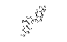 CSc1ccc(-c2cc(-c3cnc4nc(C(F)(F)F)cnn34)ccc2F)cc1